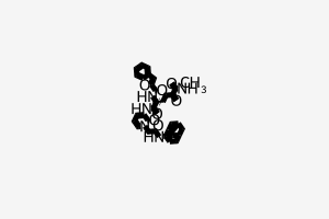 CNC(=O)C(=O)CC[C@H](NC(=O)c1cc2ccccc2o1)C(=O)Nc1cccn(CC(=O)NC2C3CC4CC(C3)CC2C4)c1=O